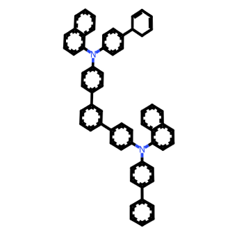 C1=CCC(c2ccc(N(c3ccc(-c4cccc(-c5ccc(N(c6ccc(-c7ccccc7)cc6)c6cccc7ccccc67)cc5)c4)cc3)c3cccc4ccccc34)cc2)C=C1